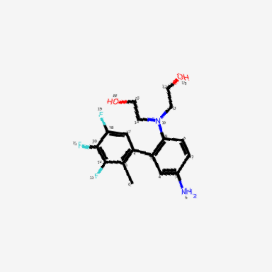 Cc1c(-c2cc(N)ccc2N(CCO)CCO)cc(F)c(F)c1F